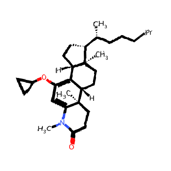 CC(C)CCC[C@@H](C)[C@H]1CC[C@H]2C3=C(OC4CC4)C=C4N(C)C(=O)CC[C@]4(C)[C@H]3CC[C@]12C